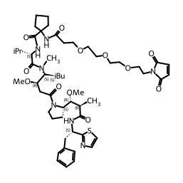 CC[C@H](C)[C@@H]([C@@H](CC(=O)N1CCC[C@H]1[C@H](OC)[C@@H](C)C(=O)N[C@@H](Cc1ccccc1)c1nccs1)OC)N(C)C(=O)[C@@H](NC(=O)C1(NC(=O)CCOCCOCCOCCN2C(=O)C=CC2=O)CCCC1)C(C)C